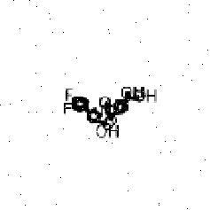 O=C(O)c1ccc(-c2ccc(F)c(F)c2)cc1N1C(=O)c2ccc(C(O)CO)cc2C1=O